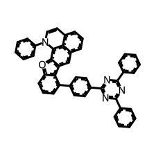 C1=CN(c2ccccc2)c2c3oc4cccc(-c5ccc(-c6nc(-c7ccccc7)nc(-c7ccccc7)n6)cc5)c4c3cc3cccc1c23